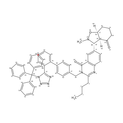 CCCCc1nc2ccc([C@H]3[C@@H]4C(=O)CCC[C@@H]4ON3C)cc2c(=O)n1Cc1ccc(-c2ccccc2-c2nnnn2C(c2ccccc2)(c2ccccc2)c2ccccc2)cc1